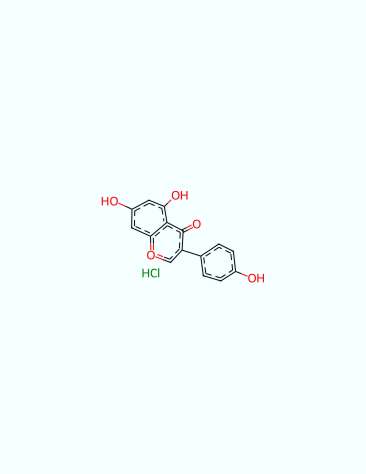 Cl.O=c1c(-c2ccc(O)cc2)coc2cc(O)cc(O)c12